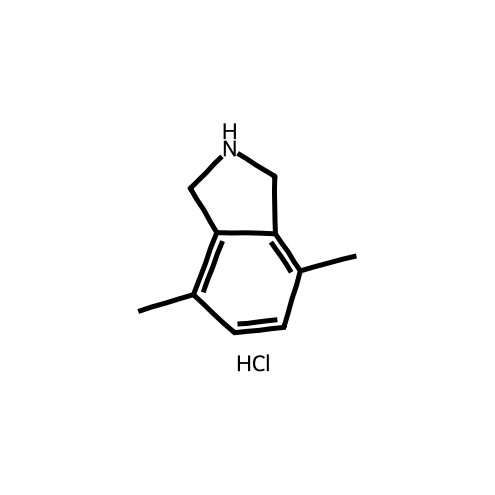 Cc1ccc(C)c2c1CNC2.Cl